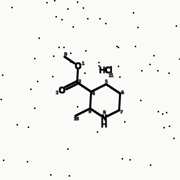 COC(=O)C1CCCNC1C.Cl